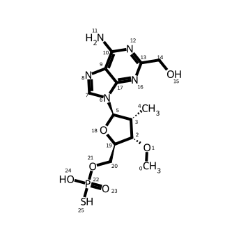 CO[C@H]1[C@@H](C)[C@H](n2cnc3c(N)nc(CO)nc32)O[C@@H]1COP(=O)(O)S